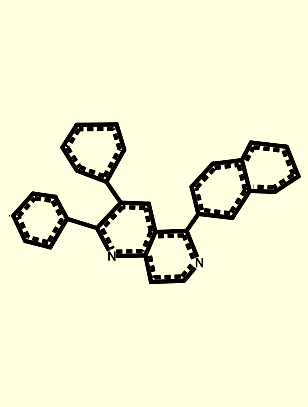 [c]1ccc(-c2nc3ccnc(-c4ccc5ccccc5c4)c3cc2-c2ccccc2)cc1